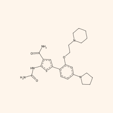 NC(=O)Nc1sc(-c2ccc(N3CCCC3)cc2OCCN2CCCCC2)cc1C(N)=O